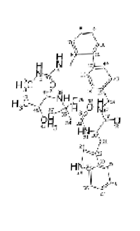 CNC(=O)NCc1ccccc1-c1ccc(CNC(=O)C(Cc2c[nH]c3ccccc23)NC(=O)CC(C)(C)NCC(C)O)cc1